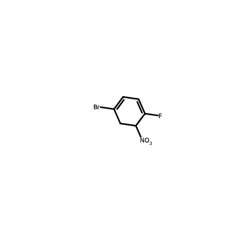 O=[N+]([O-])C1CC(Br)=CC=C1F